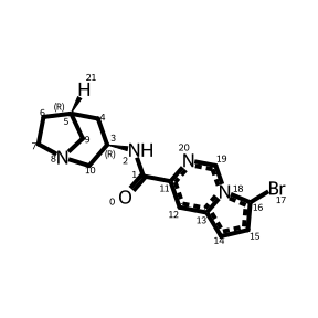 O=C(N[C@@H]1C[C@H]2CCN(C2)C1)c1cc2ccc(Br)n2cn1